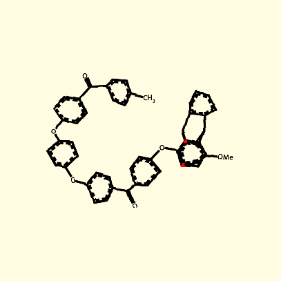 COc1ccc(Oc2ccc(C(=O)c3ccc(Oc4ccc(Oc5ccc(C(=O)c6ccc(C)cc6)cc5)cc4)cc3)cc2)c2c1C1c3ccccc3C2c2ccccc21